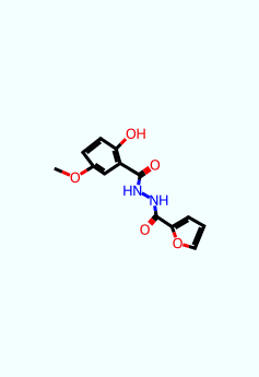 COc1ccc(O)c(C(=O)NNC(=O)c2ccco2)c1